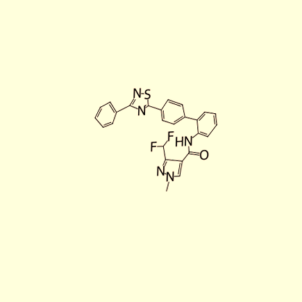 Cn1cc(C(=O)Nc2ccccc2-c2ccc(-c3nc(-c4ccccc4)ns3)cc2)c(C(F)F)n1